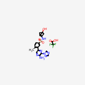 Cc1ccc(S(=O)(=O)NC23CCC(O)(C2)C3)cc1-c1cnc(N)c(-n2cncn2)n1.O=C(O)C(F)(F)F